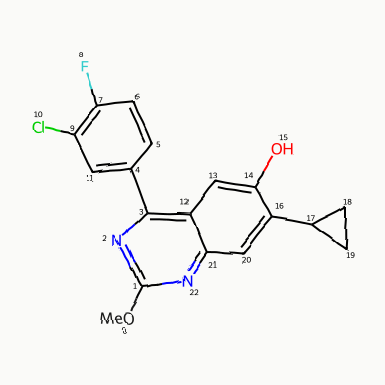 COc1nc(-c2ccc(F)c(Cl)c2)c2cc(O)c(C3CC3)cc2n1